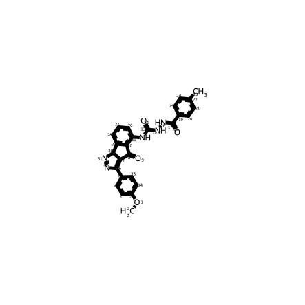 COc1ccc(C2=C3C(=O)c4c(NC(=O)NNC(=O)c5ccc(C)cc5)cccc4C3N=N2)cc1